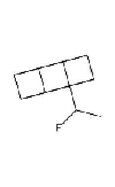 CC(F)C12C3C4C5C3C1C5C42